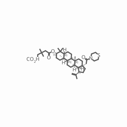 C=C(C)[C@@H]1CC[C@]2(CC(=O)N3CCSCC3)CC[C@]3(C)[C@H](CC[C@@H]4[C@@]5(C)CC[C@H](OC(=O)CC(C)(C)CC(=O)O)C(C)(C)[C@@H]5CC[C@]43C)[C@@H]12